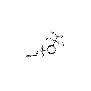 CC(C)(C(=O)O)c1cccc(S(=O)(=O)/C=C/C#N)c1